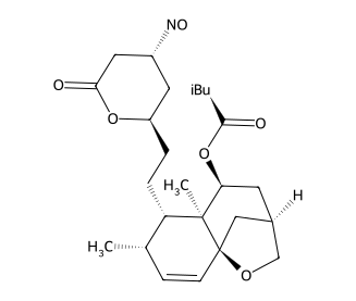 CC[C@H](C)C(=O)O[C@H]1C[C@H]2CO[C@]3(C=C[C@H](C)[C@H](CC[C@@H]4C[C@@H](N=O)CC(=O)O4)[C@@]13C)C2